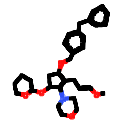 COC=CCC1C(OCc2ccc(Cc3ccccc3)cc2)CC(OC2CCCCO2)C1N1CCOCC1